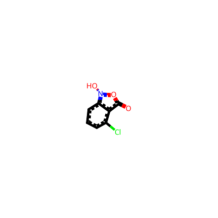 O=c1on(O)c2cccc(Cl)c12